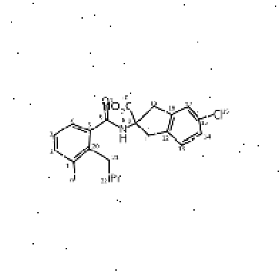 Cc1cccc(C(=O)NC2(C(=O)O)Cc3ccc(Cl)cc3C2)c1CC(C)C